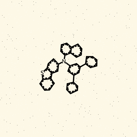 c1ccc(-c2cc(-c3ccccc3)cc(N(c3ccc4sc5ccccc5c4c3)c3cccc4ccccc34)c2)cc1